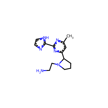 Cc1cc(C2CCCN2CCN)nc(-c2ncc[nH]2)n1